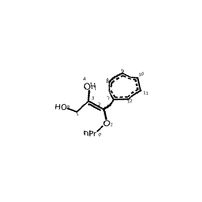 CCCOC(=C(O)CO)c1ccccc1